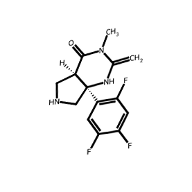 C=C1N[C@@]2(c3cc(F)c(F)cc3F)CNC[C@H]2C(=O)N1C